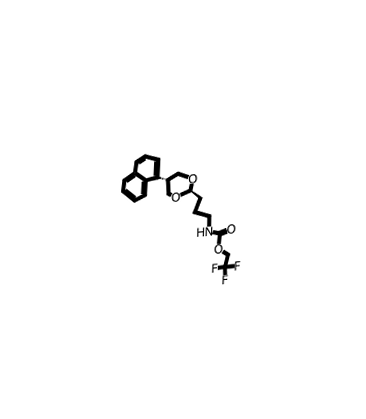 O=C(NCCC[C@H]1OC[C@H](c2cccc3ccccc32)CO1)OCC(F)(F)F